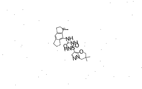 C[C@@H]1CCc2cc3c(c(NC(=O)N[S@@](=N)(=O)c4cnn5c4OCC(C)(C)C5)c21)CCC3